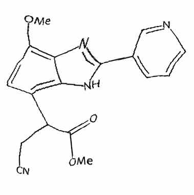 COC(=O)C(CC#N)c1ccc(OC)c2nc(-c3cccnc3)[nH]c12